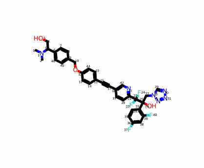 CN(C)C(CO)c1ccc(COc2ccc(C#Cc3ccc(C(F)(F)C(O)(Cn4cnnn4)c4ccc(F)cc4F)nc3)cc2)cc1